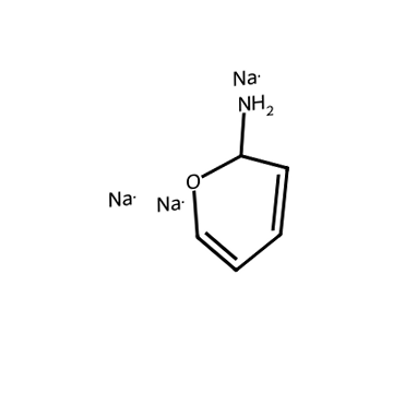 NC1C=CC=CO1.[Na].[Na].[Na]